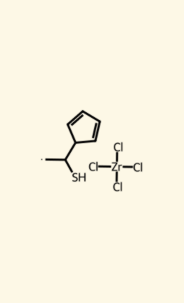 [CH2]C(S)C1C=CC=C1.[Cl][Zr]([Cl])([Cl])[Cl]